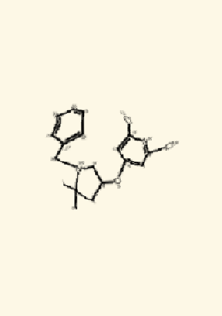 CC1(C)CC(Oc2cc(Cl)nc(Cl)c2)CN1Cc1ccccc1